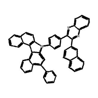 c1ccc(-c2cc3c(c4ccccc24)c2c4ccccc4ccc2n3-c2ccc(-c3nc4ccccc4nc3-c3ccc4ccccc4c3)cc2)cc1